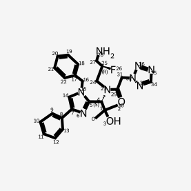 CC(C)(O)[C@H](c1nc(-c2ccccc2)cn1Cc1ccccc1)N(C[C@H](F)CN)C(=O)Cn1ncnn1